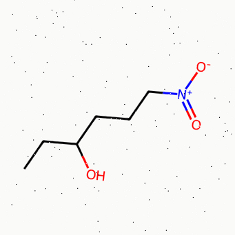 CCC(O)CCC[N+](=O)[O-]